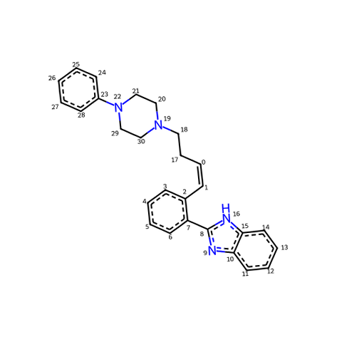 C(=C/c1ccccc1-c1nc2ccccc2[nH]1)/CCN1CCN(c2ccccc2)CC1